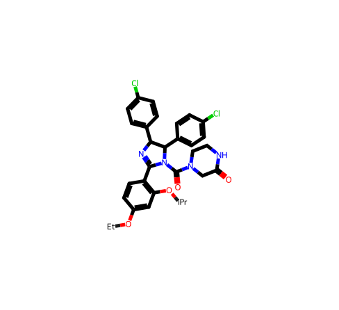 CCOc1ccc(C2=NC(c3ccc(Cl)cc3)C(c3ccc(Cl)cc3)N2C(=O)N2CCNC(=O)C2)c(OC(C)C)c1